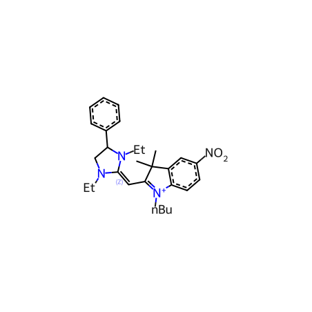 CCCC[N+]1=C(/C=C2/N(CC)CC(c3ccccc3)N2CC)C(C)(C)c2cc([N+](=O)[O-])ccc21